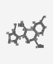 Cc1ccc2c(C(C)(C)C)nc(-c3nccn3C)c(O)c2c1